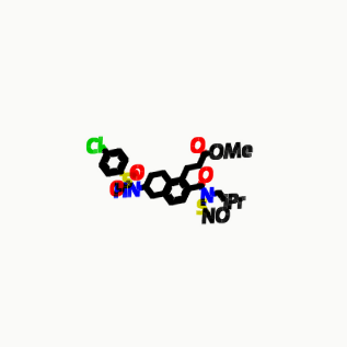 COC(=O)CCc1c(C(=O)N(CC(C)C)SN=O)ccc2c1CCC(NS(=O)(=O)c1ccc(Cl)cc1)C2